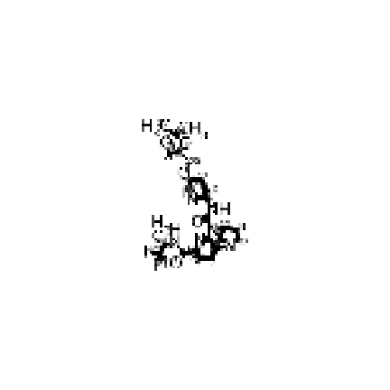 C[C@@H](NC(=O)c1ccc2c(n1)N(C(=O)Nc1ccc(OC[C@@H]3COC(C)(C)O3)nn1)C1CCN2C1)C(F)(F)F